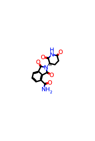 NC(=O)c1cccc2c1C(=O)N([C@H]1CCC(=O)NC1=O)C2=O